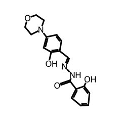 O=C(N/N=C/c1ccc(N2CCOCC2)cc1O)c1ccccc1O